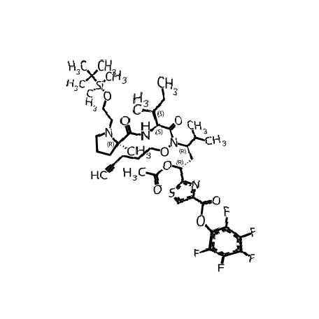 C#CCCCON(C(=O)[C@@H](NC(=O)[C@@]1(C)CCCN1CCO[Si](C)(C)C(C)(C)C)[C@@H](C)CC)[C@H](C[C@@H](OC(C)=O)c1nc(C(=O)Oc2c(F)c(F)c(F)c(F)c2F)cs1)C(C)C